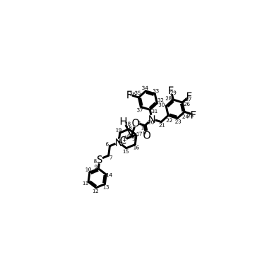 O=C(O[C@H]1C[N+]2(CCSc3ccccc3)CCC1CC2)N(Cc1cc(F)c(F)c(F)c1)c1cccc(F)c1